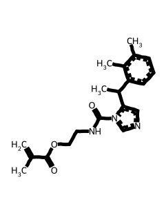 C=C(C)C(=O)OCCNC(=O)n1cncc1C(C)c1cccc(C)c1C